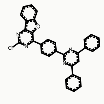 Clc1nc(-c2ccc(-c3nc(-c4ccccc4)cc(-c4ccccc4)n3)cc2)c2oc3ccccc3c2n1